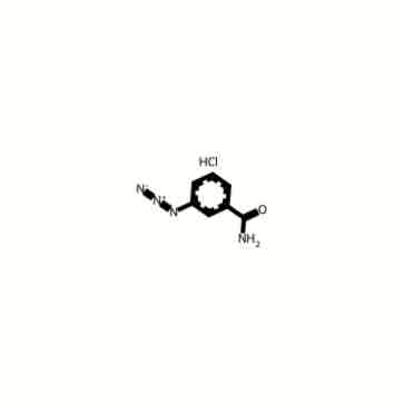 Cl.[N-]=[N+]=Nc1cccc(C(N)=O)c1